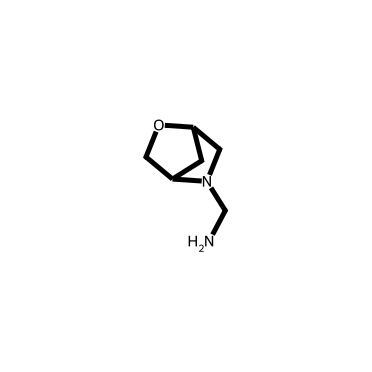 NCN1CC2CC1CO2